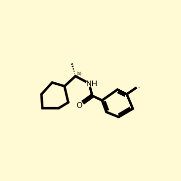 [CH2]c1cccc(C(=O)N[C@@H](C)C2CCCCC2)c1